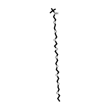 CCCOCCOCCOCCOCCOCCOCCOCCOCCOCCNC(C)(C)C